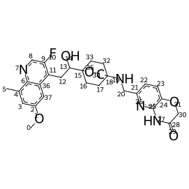 COc1cc(C)c2ncc(F)c(CC(O)C34CCC(NCc5ccc6c(n5)NC(=O)CO6)(CC3)CO4)c2c1